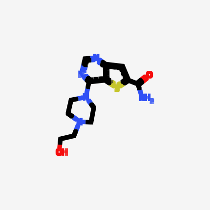 NC(=O)c1cc2ncnc(N3CCN(CCO)CC3)c2s1